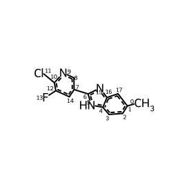 Cc1ccc2[nH]c(-c3cnc(Cl)c(F)c3)nc2c1